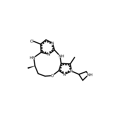 Cc1c2c(nn1C1CNC1)OCC[C@@H](C)Nc1nc(ncc1Cl)N2